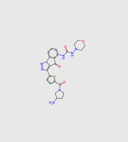 NC1CCN(C(=O)c2ccc(C3=C4C(=O)c5c(NC(=O)NN6CCOCC6)cccc5C4N=N3)s2)C1